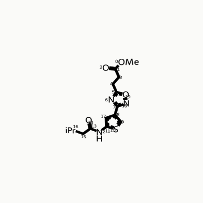 COC(=O)CCc1nc(-c2csc(NC(=O)CC(C)C)c2)no1